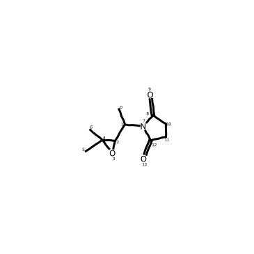 CC(C1OC1(C)C)N1C(=O)CCC1=O